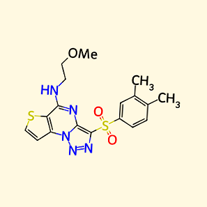 COCCNc1nc2c(S(=O)(=O)c3ccc(C)c(C)c3)nnn2c2ccsc12